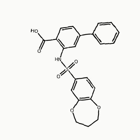 O=C(O)c1ccc(-c2ccccc2)cc1NS(=O)(=O)c1ccc2c(c1)OCCCO2